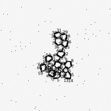 c1ccc([Si](c2ccccc2)(c2ccccc2)c2cc(-c3ccc(-c4ccc5ccc6cccc7ccc4c5c67)cc3)cc([Si](c3ccccc3)(c3ccccc3)c3ccccc3)c2)cc1